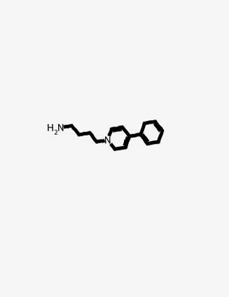 NCCCCN1C=CC(C2=CCC=CC2)=CC1